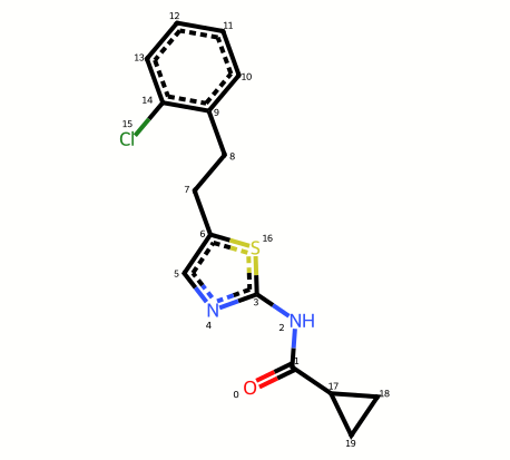 O=C(Nc1ncc(CCc2ccccc2Cl)s1)C1CC1